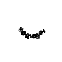 CC1=C(COc2ccc(S(=O)(=O)Nc3nnc(C(C)C)s3)cc2)N=C(c2ccc(OC(F)(F)F)cc2)C1